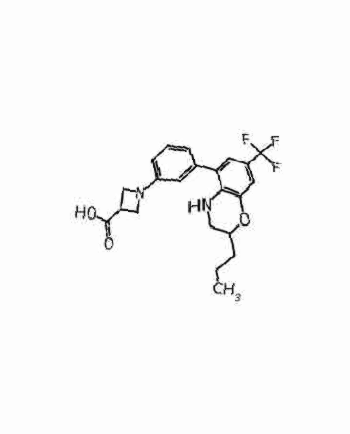 CCCC1CNc2c(cc(C(F)(F)F)cc2-c2cccc(N3CC(C(=O)O)C3)c2)O1